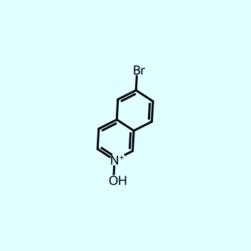 O[n+]1ccc2cc(Br)ccc2c1